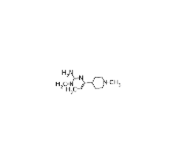 C=N/C(N)=N\C(=C/C)C1CCN(C)CC1